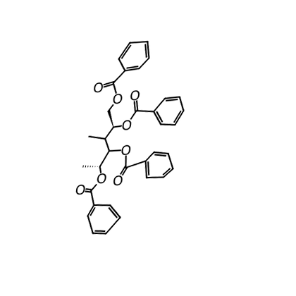 CC(C(OC(=O)c1ccccc1)[C@@H](C)OC(=O)c1ccccc1)[C@@H](COC(=O)c1ccccc1)OC(=O)c1ccccc1